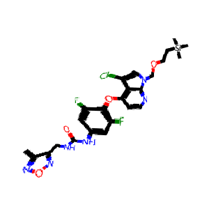 Cc1nonc1CNC(=O)Nc1cc(F)c(Oc2ccnc3c2c(Cl)cn3COCC[Si](C)(C)C)c(F)c1